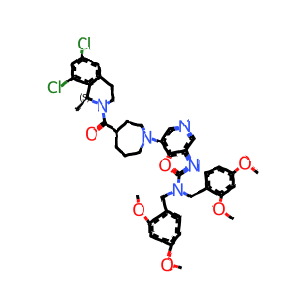 COc1ccc(CN(Cc2ccc(OC)cc2OC)c2nc3cncc(N4CCCC(C(=O)N5CCc6cc(Cl)cc(Cl)c6[C@@H]5C)CC4)c3o2)c(OC)c1